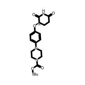 CC(C)(C)OC(=O)N1CCN(c2ccc(O[C@@H]3CCC(=O)NC3=O)cc2)CC1